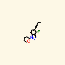 CCC#Cc1ccc2c(cnn2C2CCCCO2)c1F